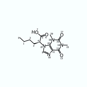 CCCC[C@@H](C(=O)O)n1cnc2c(=O)n(C)c(=O)n(C)c21